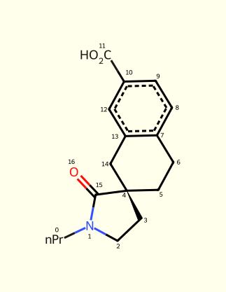 CCCN1CC[C@@]2(CCc3ccc(C(=O)O)cc3C2)C1=O